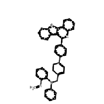 C=Nc1ccccc1N(CC1=CC=C(c2ccc(-c3nc4ccccc4c4oc5ccccc5c34)cc2)CC1)c1ccccc1